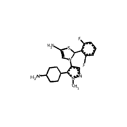 Cn1ncc(N2C=C(N)SC2c2c(F)cccc2F)c1C1CCC(N)CC1